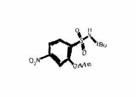 COc1cc([N+](=O)[O-])ccc1S(=O)(=O)NC(C)(C)C